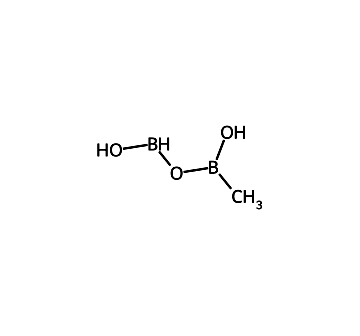 CB(O)OBO